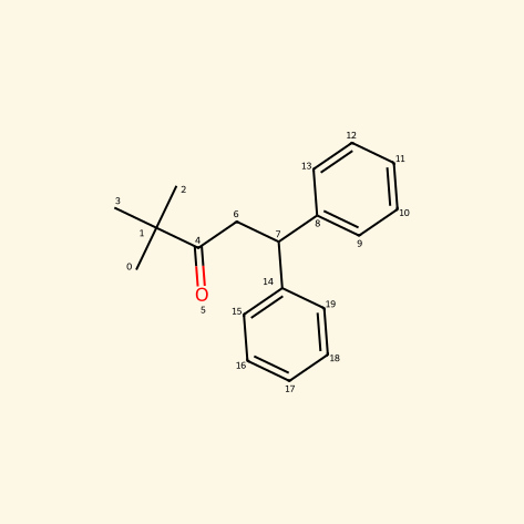 CC(C)(C)C(=O)CC(c1ccccc1)c1ccccc1